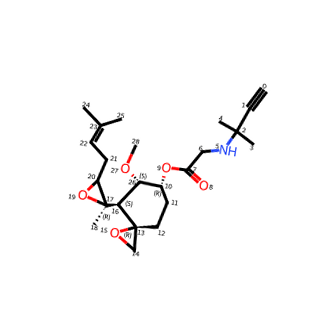 C#CC(C)(C)NCC(=O)O[C@@H]1CC[C@]2(CO2)[C@@H]([C@@]2(C)OC2CC=C(C)C)[C@@H]1OC